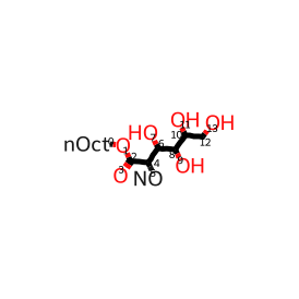 CCCCCCCCOC(=O)C(N=O)C(O)C(O)C(O)CO